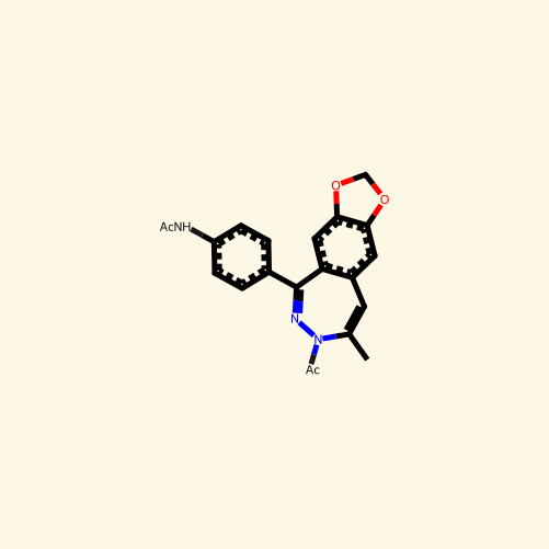 CC(=O)Nc1ccc(C2=NN(C(C)=O)C(C)=Cc3cc4c(cc32)OCO4)cc1